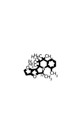 Cc1cccc2c1N1[C@@H](C)c3oc4ccoc4c3C1(C)C(C)(C)C2(C)C